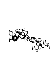 CC(C)(C)OC(=O)N1CCN(c2nc(CN(C(=O)C(C)(C)C)c3ccc(F)cc3)cs2)CC1